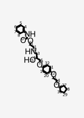 O=C(Nc1ccccc1)OCCNCC(O)COc1ccc(OCCOC2CCCC2)cc1